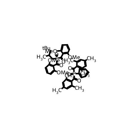 COc1cccc(OC)c1C(=O)P(=O)(CC(C)CC(C)(C)C)C(=O)c1c(OC)cccc1OC.Cc1cc(C)c(C(=O)P(=O)(C(=O)c2c(C)cc(C)cc2C)c2ccccc2)c(C)c1